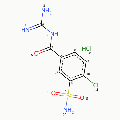 Cl.N=C(N)NC(=O)c1ccc(Cl)c(S(N)(=O)=O)c1